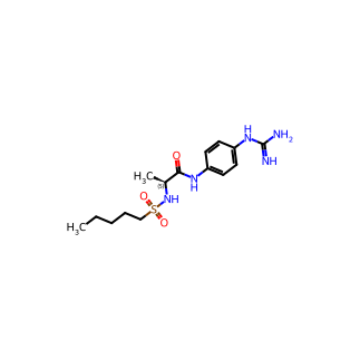 CCCCCS(=O)(=O)N[C@@H](C)C(=O)Nc1ccc(NC(=N)N)cc1